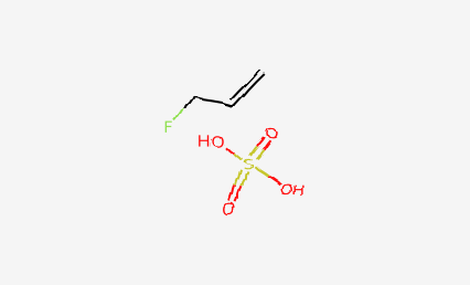 C=CCF.O=S(=O)(O)O